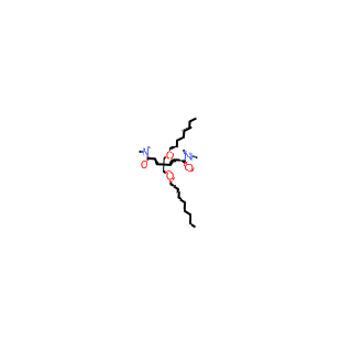 CCCCCCCCOCC(C=CC(=O)N(C)C)(C=CC(=O)N(C)C)COCCCCCCCC